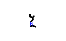 CCC(C)CCN1CC1C